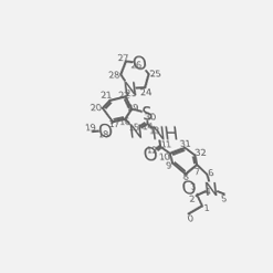 CCC(=O)N(C)Cc1ccc(C(=O)Nc2nc3c(OC)ccc(N4CCOCC4)c3s2)cc1